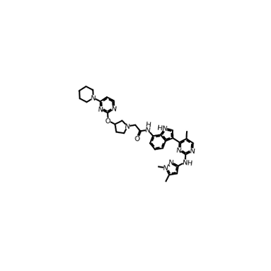 Cc1cnc(Nc2cc(C)n(C)n2)nc1-c1c[nH]c2c(NC(=O)CN3CCC(Oc4nccc(N5CCCCC5)n4)C3)cccc12